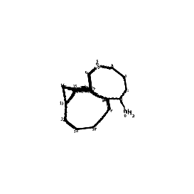 NC1CCCSCC2C1CCCCC1CC12